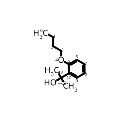 CCCCOc1ccccc1C(C)(C)O